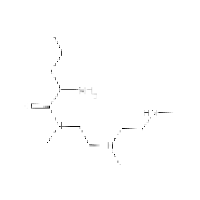 CCCC(N)C(=O)N(C)CCN(C)CCNC